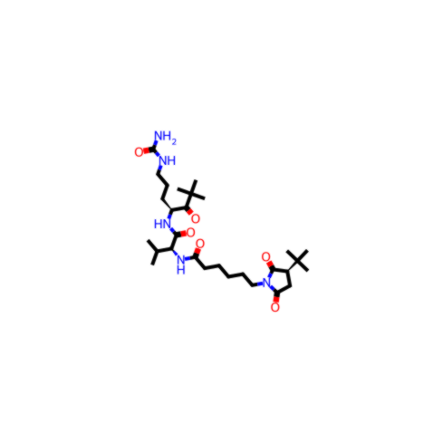 CC(C)[C@H](NC(=O)CCCCCN1C(=O)C[C@H](C(C)(C)C)C1=O)C(=O)N[C@@H](CCCNC(N)=O)C(=O)C(C)(C)C